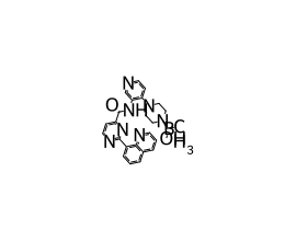 CB(O)N1CCN(c2ccncc2NC(=O)c2ccnc(-c3cccc4cccnc34)n2)CC1